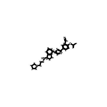 CC(C)Oc1ccc(-c2ncc(-c3cccc4c3CCC4NSCCN3CCCC3)s2)cc1C#N